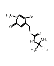 Cn1cc(Br)c(COC(=O)NC(C)(C)C)cc1=O